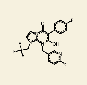 O=c1c(-c2ccc(F)cc2)c(O)[n+](Cc2ccc(Cl)nc2)c2n(CC(F)(F)F)ccn12